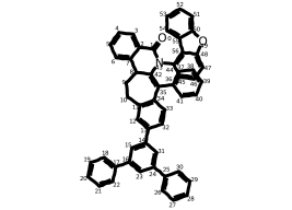 O=C1c2ccccc2C2CCc3cc(-c4cc(-c5ccccc5)cc(-c5ccccc5)c4)ccc3C(c3ccccc3)=C2N1c1cccc2oc3ccccc3c12